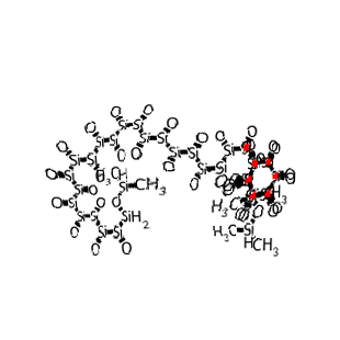 C[SiH](C)O[SiH2][Si](=O)[Si](=O)[Si](=O)[Si](=O)[Si](=O)[Si](=O)[Si](=O)[Si](=O)[Si](=O)[Si](=O)[Si](=O)[Si](=O)[Si](=O)[Si](=O)[Si](=O)[Si](=O)[Si](=O)[Si](=O)[Si](=O)[Si](=O)[Si](=O)[Si](=O)[Si](=O)[Si](=O)[Si](=O)[Si](=O)[Si](=O)[Si](=O)[Si](=O)[Si](=O)[Si](=O)[Si](=O)[Si](=O)[Si](=O)[Si](=O)[Si](C)(C)O[SiH](C)C